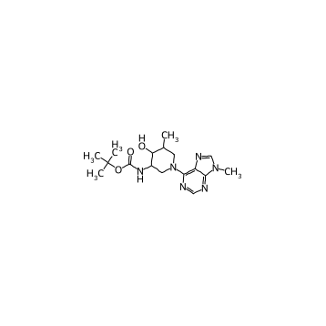 CC1CN(c2ncnc3c2ncn3C)CC(NC(=O)OC(C)(C)C)C1O